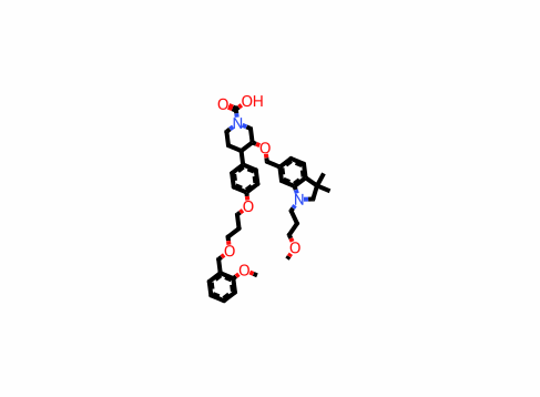 COCCCN1CC(C)(C)c2ccc(COC3CN(C(=O)O)CCC3c3ccc(OCCCOCc4ccccc4OC)cc3)cc21